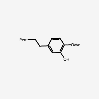 CCCC(C)CCc1ccc(OC)c(O)c1